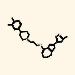 CC1=NB=C(C2=CC3=C(CCCC=C3OCCCN3CCC(c4ccc(C)c(C)c4)CC3)C2)C1